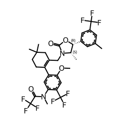 COc1cc(C(F)(F)F)c(N(C)C(=O)C(F)(F)F)cc1C1=C(CN2C(=O)O[C@H](c3cc(C)cc(C(F)(F)F)c3)[C@@H]2C)CC(C)(C)CC1